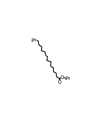 CC(C)CCCCCCCCCCCCCCC(=O)OC(C)C